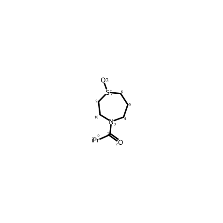 CC(C)C(=O)N1CCC[S+]([O-])CC1